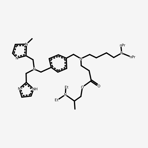 CCCN(CCC)CCCCN(CCC(=O)OCC(C)N(CC)CC)Cc1ccc(CN(Cc2ncc[nH]2)Cc2nccn2C)cc1